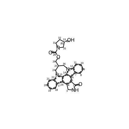 O=C1NCc2c1c1c3ccccc3n3c1c1c2c2ccccc2n1CC(COC(=O)N1CC[C@@H](O)C1)C3